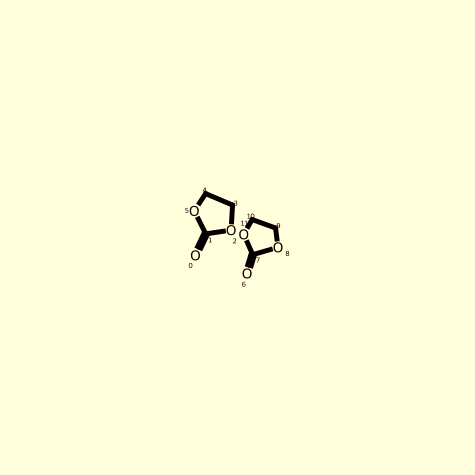 O=C1OCCO1.O=C1OCCO1